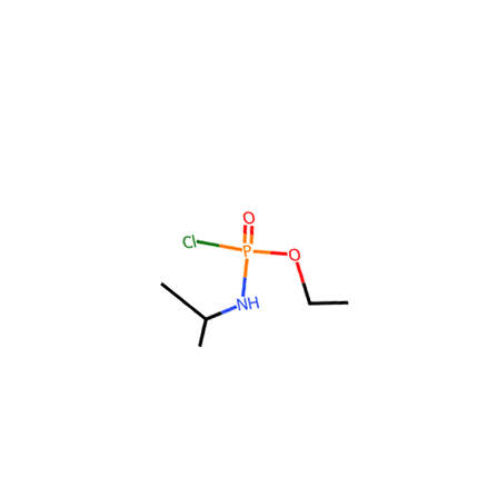 CCOP(=O)(Cl)NC(C)C